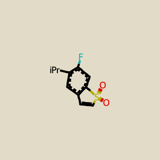 CC(C)c1cc2c(cc1F)S(=O)(=O)C=C2